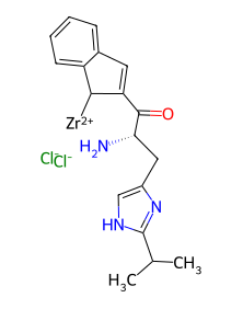 CC(C)c1nc(C[C@H](N)C(=O)C2=Cc3ccccc3[CH]2[Zr+2])c[nH]1.[Cl-].[Cl-]